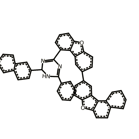 c1ccc(C2=NC(c3cccc4oc5ccc(-c6ccc7oc8ccc9ccccc9c8c7c6)cc5c34)=NC(c3ccc4ccccc4c3)N2)cc1